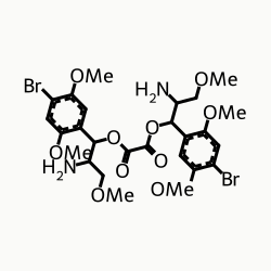 COCC(N)C(OC(=O)C(=O)OC(c1cc(OC)c(Br)cc1OC)C(N)COC)c1cc(OC)c(Br)cc1OC